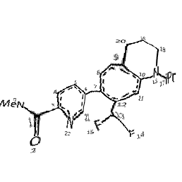 CNC(=O)c1ccc(-c2cc3c(cc2C(F)F)N(C(C)C)CCC3)cn1